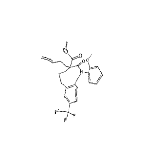 C=CCC1(C(=O)OC)CCc2cc(C(F)(F)F)ccc2N(c2ccccc2OC)C1=O